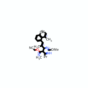 CC/C=C(/C)c1c(C)cccc1/C=C(\C)C(/N=C/OC)C(C(=N)C(C)C)/C(=N\C)OCC#N